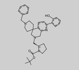 CC(C)(C)OC(=O)N1CCC[C@@H]1CN1Cc2nc(-c3ccccc3O)ccc2C2(CCN(Cc3ccccc3)CC2)C1